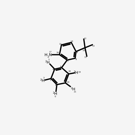 [2H]c1c([2H])c([2H])c(-c2cc(C(C)(C)C)ccc2N)c([2H])c1[2H]